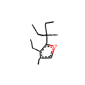 CCc1c(C)coc1C(C)(CC)CC